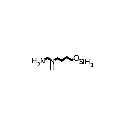 NCNCCCCO[SiH3]